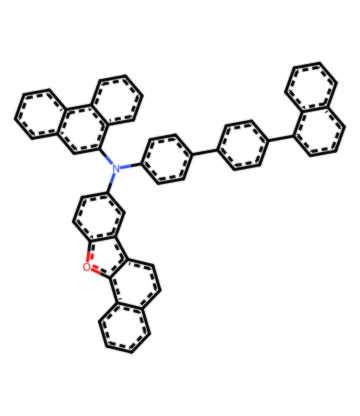 c1ccc2c(-c3ccc(-c4ccc(N(c5ccc6oc7c8ccccc8ccc7c6c5)c5cc6ccccc6c6ccccc56)cc4)cc3)cccc2c1